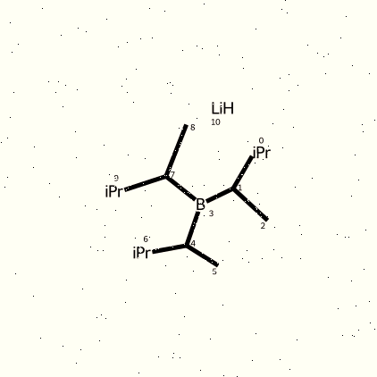 CC(C)C(C)B(C(C)C(C)C)C(C)C(C)C.[LiH]